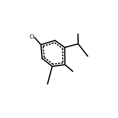 Cc1cc(Cl)cc(C(C)C)c1C